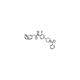 O=C(Cc1ccn2ccnc2c1)Nc1ccc(C2CCN(C(=O)c3ccccc3)CC2)cc1F